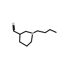 CCCCN1CCCC(C=O)C1